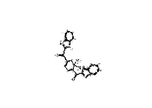 O=C(C1=CC=C(C(=O)c2nc3ccccc3[nH]2)C(S(=O)(=O)O)(S(=O)(=O)O)C1)c1nc2ccccc2[nH]1